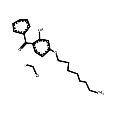 CCCCCCCCOc1ccc(C(=O)c2ccccc2)c(O)c1.ClCCl